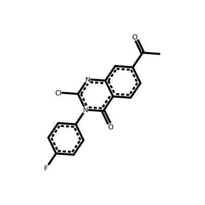 CC(=O)c1ccc2c(=O)n(-c3ccc(F)cc3)c(Cl)nc2c1